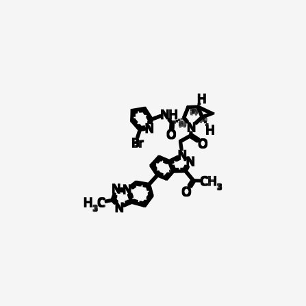 CC(=O)c1nn(CC(=O)N2[C@@H]3C[C@@H]3C[C@H]2C(=O)Nc2cccc(Br)n2)c2ccc(-c3ccc4nc(C)nn4c3)cc12